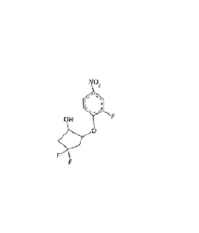 O=[N+]([O-])c1ccc(OC2CC(F)(F)CC2O)c(F)c1